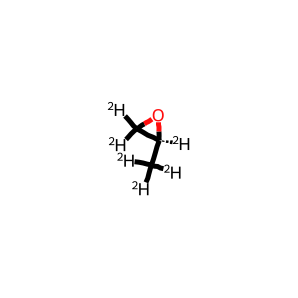 [2H]C([2H])([2H])[C@]1([2H])OC1([2H])[2H]